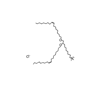 CCCCCCCC/C=C\CCCCCCCCOCC(CCCCCCCC[N+](C)(C)C)OCCCCCCCC/C=C\CCCCCCCC.[Cl-]